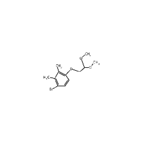 COC(COc1ccc(Br)c(C)c1C)OC